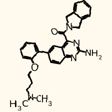 CN(C)CCCOc1ccccc1-c1ccc2nc(N)nc(C(=O)N3Cc4ccccc4C3)c2c1